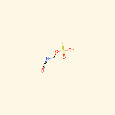 O=C=NCOS(=O)(O)=S